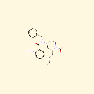 CCCCC1CC(N(Cc2ccccc2)C(=O)c2ccccc2N)CCN1C(=O)O